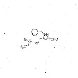 C=C/C(Br)=C\C=C/Cc1cc(C=O)nn1Cc1ccccc1